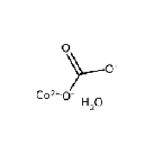 O.O=C([O-])[O-].[Co+2]